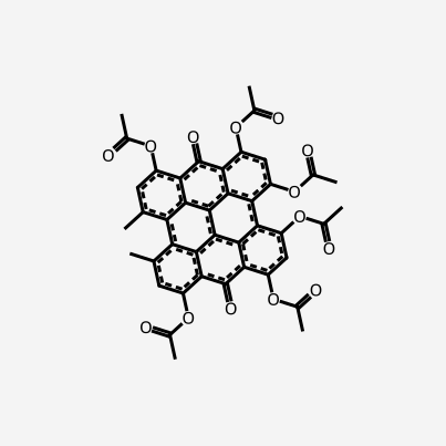 CC(=O)Oc1cc(C)c2c3c(C)cc(OC(C)=O)c4c(=O)c5c(OC(C)=O)cc(OC(C)=O)c6c7c(OC(C)=O)cc(OC(C)=O)c8c(=O)c1c2c(c87)c(c43)c56